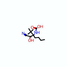 CCCCC(NC(=O)O)([C@@H](O)C#N)C(C)(C)C